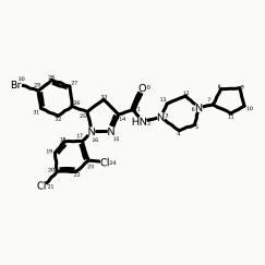 O=C(NN1CCN(C2CCCC2)CC1)C1=NN(c2ccc(Cl)cc2Cl)C(C2C=CC(Br)=CC2)C1